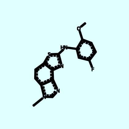 COc1ccc(F)cc1Nc1nc2c(ccc3c2ncn3C)s1